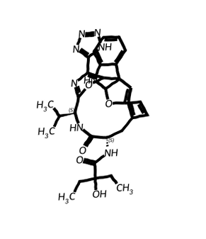 CCC(O)(CC)C(=O)N[C@H]1Cc2ccc3c(c2)C2(c4ccccc4NC2O3)c2oc(nc2-c2nnn[nH]2)[C@H](C(C)C)NC1=O